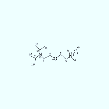 CC[N+](C)(C)CCOCCN(C(C)C)C(C)C